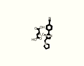 Cn1c(CN2CCCC2)cnc1-c1ccc(C#N)cc1.O=C(O)/C=C/C(=O)O